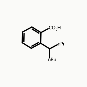 CCCCC(CCC)c1ccccc1C(=O)O